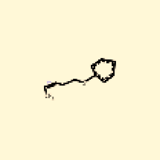 FC(F)(F)/C=C\CCSc1ccccc1